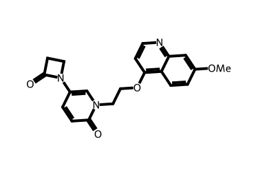 COc1ccc2c(OCCn3cc(N4CCC4=O)ccc3=O)ccnc2c1